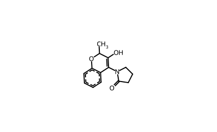 CC1Oc2ccccc2C(N2CCCC2=O)=C1O